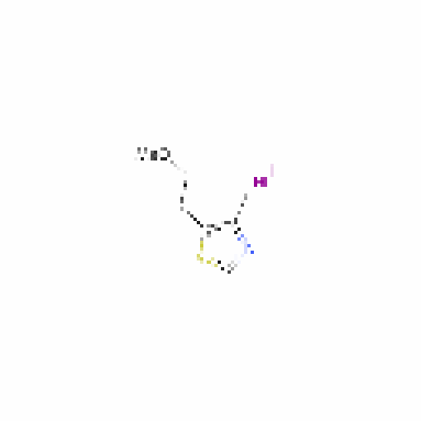 COCCc1scnc1C.I.I